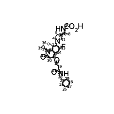 Cc1c(N2CC[C@@H]([C@H](C)NC(=O)O)C2)c(F)cc2c(OCCC(=O)NCc3ccccc3)cc(=O)n(C3CC3)c12